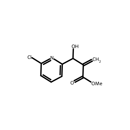 C=C(C(=O)OC)C(O)c1cccc(Cl)n1